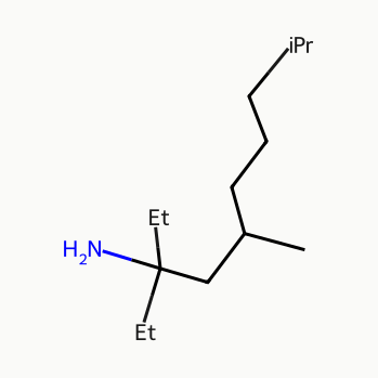 CCC(N)(CC)CC(C)CCCC(C)C